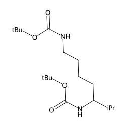 CC(C)C(CCCCNC(=O)OC(C)(C)C)NC(=O)OC(C)(C)C